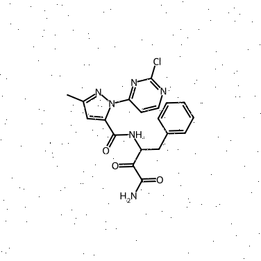 Cc1cc(C(=O)NC(Cc2ccccc2)C(=O)C(N)=O)n(-c2ccnc(Cl)n2)n1